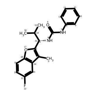 Cc1c([C@@H](NC(=O)Nc2ccccc2)C(C)C)oc2ccc(F)cc12